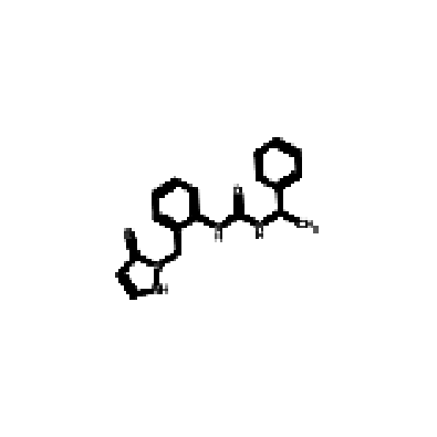 CC(NC(=O)Nc1ccccc1Cn1[nH]ccc1=O)c1ccccc1